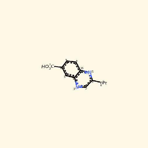 CCCc1cnc2cc(C(=O)O)ccc2n1